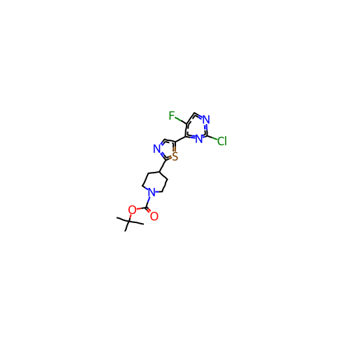 CC(C)(C)OC(=O)N1CCC(c2ncc(-c3nc(Cl)ncc3F)s2)CC1